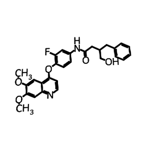 COc1cc2nccc(Oc3ccc(NC(=O)CC(CO)Cc4ccccc4)cc3F)c2cc1OC